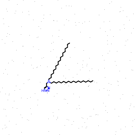 CCCCCCCCCCCCCCCCCCN(CCCCCCCCCCCCCCCCCC)Cc1c[nH]nn1